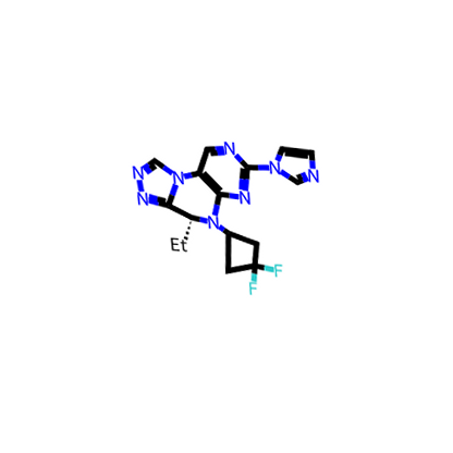 CC[C@@H]1c2nncn2-c2cnc(-n3ccnc3)nc2N1C1CC(F)(F)C1